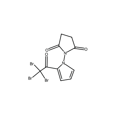 O=C1CCC(=O)N1n1cccc1C(=O)C(Br)(Br)Br